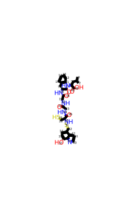 CC(C)CC(NC(=O)[C@H](Cc1ccccc1)NC(=O)CNC(=O)CNC(=O)C(CS)NSCc1ccc(O)c2ncccc12)C(=O)O